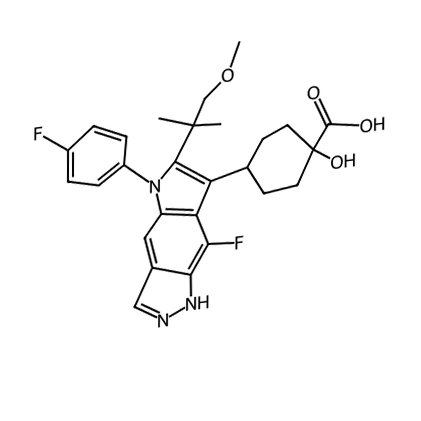 COCC(C)(C)c1c(C2CCC(O)(C(=O)O)CC2)c2c(F)c3[nH]ncc3cc2n1-c1ccc(F)cc1